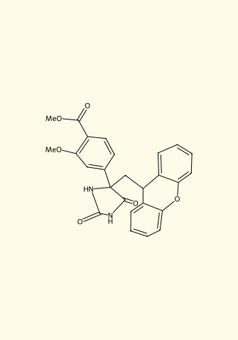 COC(=O)c1ccc(C2(CC3c4ccccc4Oc4ccccc43)NC(=O)NC2=O)cc1OC